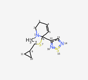 CN1CCC=CC1(SCC1CC1)c1cnsn1